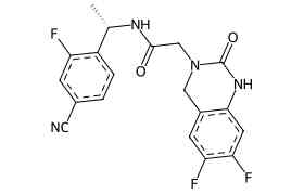 C[C@H](NC(=O)CN1Cc2cc(F)c(F)cc2NC1=O)c1ccc(C#N)cc1F